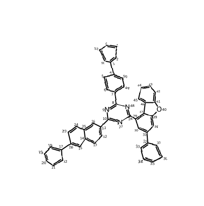 c1ccc(-c2ccc(-c3nc(-c4ccc5cc(-c6ccccc6)ccc5c4)nc(-c4cc(-c5ccccc5)cc5oc6ccccc6c45)n3)cc2)cc1